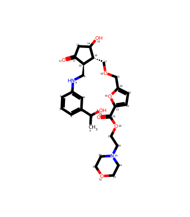 CC(O)c1cccc(NC[C@H]2C(=O)CC(O)[C@@H]2COCc2ccc(C(=O)OCCN3CCOCC3)o2)c1